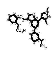 Cc1nn(C)cc1-c1cc(-c2cccc(CN)c2)cc2c(COc3ccccc3CC(=O)O)coc12